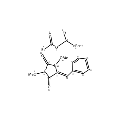 CCCCCC(CC)OC(=O)CC.CON1C(=O)C(=Cc2ccccc2)N(OC)C1=O